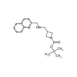 CC(C)(C)OC(=O)N1CC(CNCc2ccc3ccccc3n2)C1